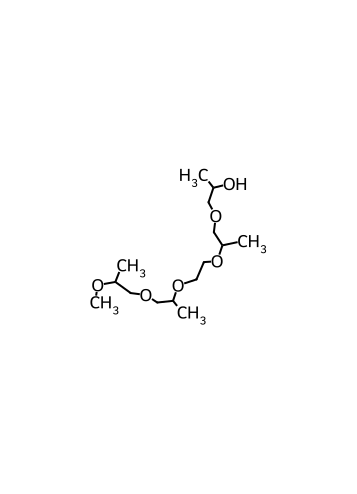 COC(C)COCC(C)OCCOC(C)COCC(C)O